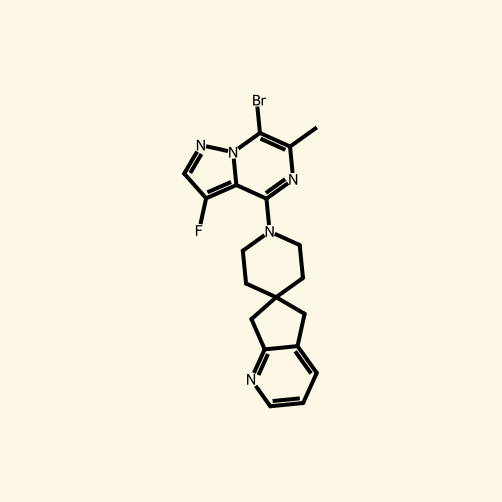 Cc1nc(N2CCC3(CC2)Cc2cccnc2C3)c2c(F)cnn2c1Br